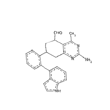 Cc1nc(N)nc2c1C(C=O)CC(c1ccccc1-c1cccc3[nH]ccc13)C2